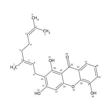 CC(C)=CCC/C(C)=C/Cc1c(O)cc2oc3c(O)cccc3c(=O)c2c1O